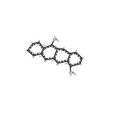 Cc1cccc2cc3c(C)c4ccccc4cc3cc12